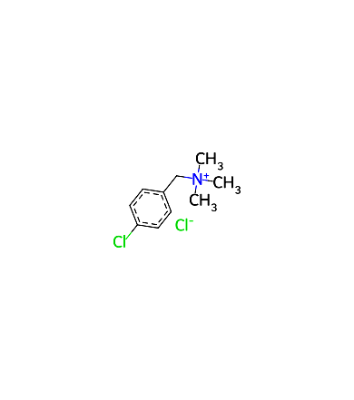 C[N+](C)(C)Cc1ccc(Cl)cc1.[Cl-]